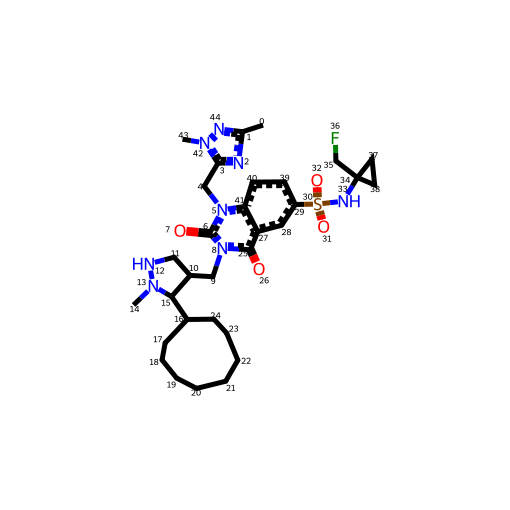 Cc1nc(Cn2c(=O)n(CC3CNN(C)C3C3CCCCCCCC3)c(=O)c3cc(S(=O)(=O)NC4(CF)CC4)ccc32)n(C)n1